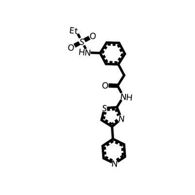 CCS(=O)(=O)Nc1cccc(CC(=O)Nc2nc(-c3ccncc3)cs2)c1